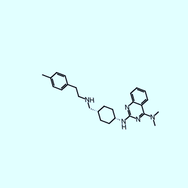 Cc1ccc(CCNC[C@H]2CC[C@@H](Nc3nc(N(C)C)c4ccccc4n3)CC2)cc1